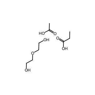 CC(=O)O.CCC(=O)O.OCCOCCO